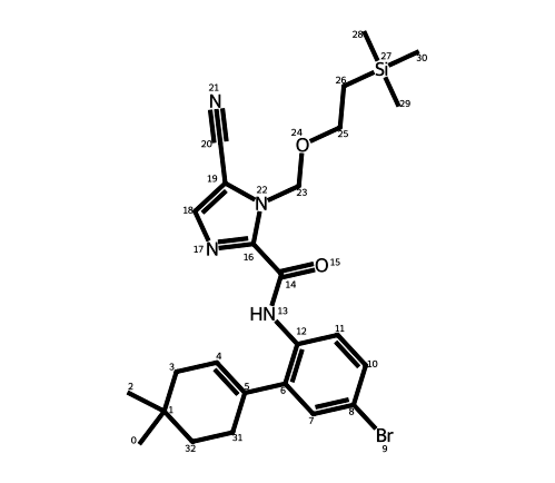 CC1(C)CC=C(c2cc(Br)ccc2NC(=O)c2ncc(C#N)n2COCC[Si](C)(C)C)CC1